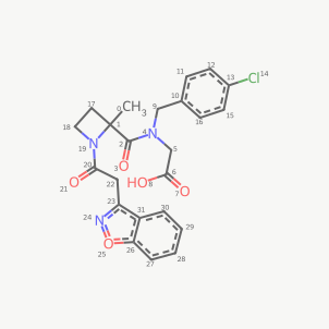 CC1(C(=O)N(CC(=O)O)Cc2ccc(Cl)cc2)CCN1C(=O)Cc1noc2ccccc12